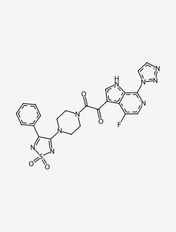 O=C(C(=O)N1CCN(C2=NS(=O)(=O)N=C2c2ccccc2)CC1)c1c[nH]c2c(-n3ccnn3)ncc(F)c12